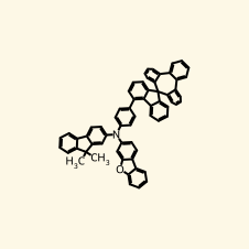 CC1(C)c2ccccc2-c2ccc(N(c3ccc(-c4cccc5c4-c4ccccc4C54c5ccccc5-c5ccccc5-c5ccccc54)cc3)c3ccc4c(c3)oc3ccccc34)cc21